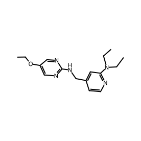 CCOc1cnc(NCc2ccnc(N(CC)CC)c2)nc1